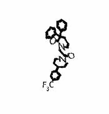 O=C(CN1CCCC(c2ccccc2)(c2ccccc2)C1=O)N1CCC(c2ccc(C(F)(F)F)cc2)CC1